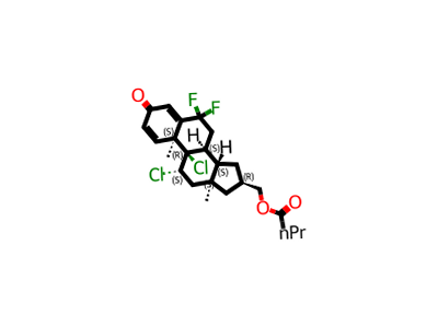 CCCC(=O)OC[C@@H]1C[C@H]2[C@@H]3CC(F)(F)C4=CC(=O)C=C[C@]4(C)[C@@]3(Cl)[C@@H](Cl)C[C@]2(C)C1